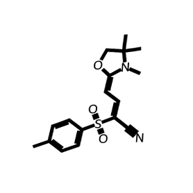 Cc1ccc(S(=O)(=O)/C(C#N)=C\C=C2\OCC(C)(C)N2C)cc1